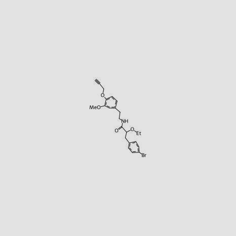 C#CCOc1ccc(CCNC(=O)C(Cc2ccc(Br)cc2)OCC)cc1OC